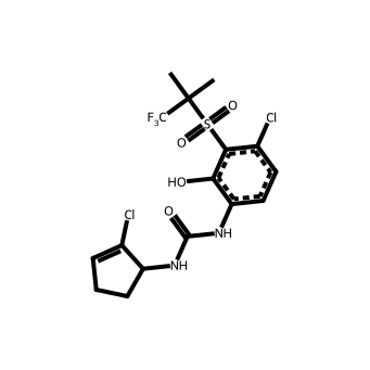 CC(C)(C(F)(F)F)S(=O)(=O)c1c(Cl)ccc(NC(=O)NC2CCC=C2Cl)c1O